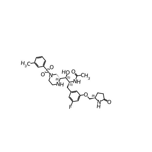 CC(=O)N[C@@H](Cc1cc(F)cc(OC[C@H]2CCC(=O)N2)c1)[C@H](O)[C@H]1CN(S(=O)(=O)c2cccc(C)c2)CCN1